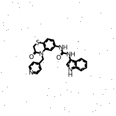 O=C(Nc1ccc2c(c1)N(Cc1ccncc1)C(=O)CS2)Nc1c[nH]c2ccccc12